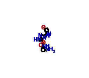 COc1ccc2c(c1)c(-c1cnc3[nH]cc(OC(=O)N[C@@H]4CCCC[C@@H]4N)c3n1)nn2C